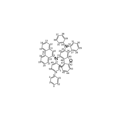 c1ccc(-c2ccc(N(c3cc4ccccc4c4ccccc34)c3cc4c(c5ccccc5n4-c4ccccc4)c4oc5ccccc5c34)cc2)cc1